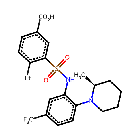 CCc1ccc(C(=O)O)cc1S(=O)(=O)Nc1cc(C(F)(F)F)ccc1N1CCCC[C@@H]1C